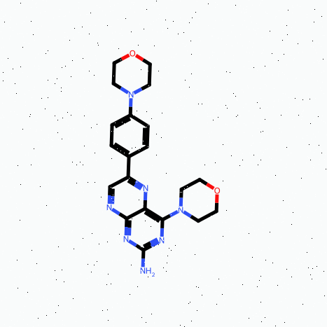 Nc1nc(N2CCOCC2)c2nc(-c3ccc(N4CCOCC4)cc3)cnc2n1